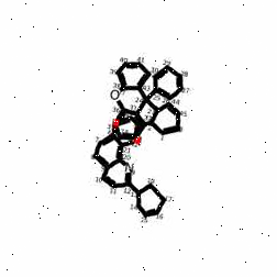 C1=CC(c2ccc3ccc4ccc(C5CC=CCC5)nc4c3n2)C(C2(c3ccccc3)c3ccccc3Oc3ccccc32)C=C1